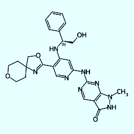 Cn1[nH]c(=O)c2cnc(Nc3cc(N[C@H](CO)c4ccccc4)c(C4=NC5(CCOCC5)CO4)cn3)nc21